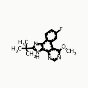 COc1ncnc2c3[nH]c(C(C)(C)C)nc3c3ccc(F)cc3c12